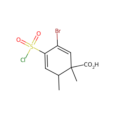 CC1C=C(S(=O)(=O)Cl)C(Br)=CC1(C)C(=O)O